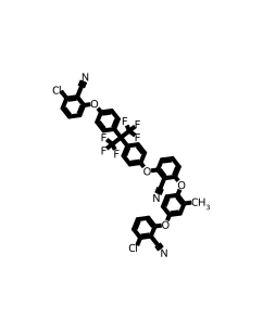 Cc1cc(Oc2cccc(Cl)c2C#N)ccc1Oc1cccc(Oc2ccc(C(c3ccc(Oc4cccc(Cl)c4C#N)cc3)(C(F)(F)F)C(F)(F)F)cc2)c1C#N